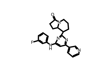 O=C1CCC2C(c3nc(Nc4cccc(F)c4)cc(-c4cccnc4)n3)CCCN12